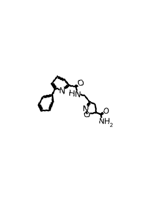 NC(=O)C1CC(CNC(=O)c2cccc(-c3ccccc3)n2)=NO1